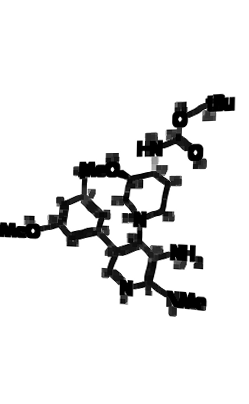 CNc1ncc(-c2cc(F)cc(OC)c2)c(N2CC[C@@H](NC(=O)OC(C)(C)C)[C@H](OC)C2)c1N